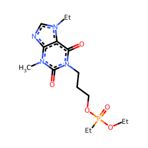 CCOP(=O)(CC)OCCCn1c(=O)c2c(ncn2CC)n(C)c1=O